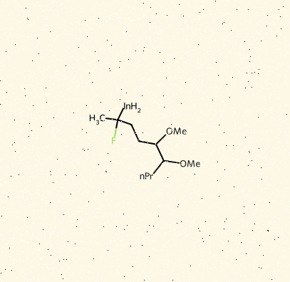 CCCC(OC)C(CC[C](C)(F)[InH2])OC